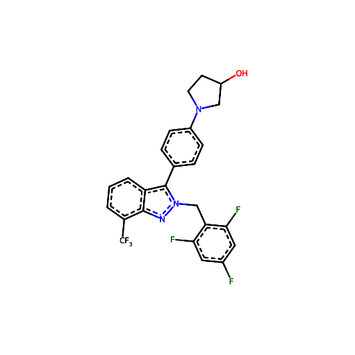 OC1CCN(c2ccc(-c3c4cccc(C(F)(F)F)c4nn3Cc3c(F)cc(F)cc3F)cc2)C1